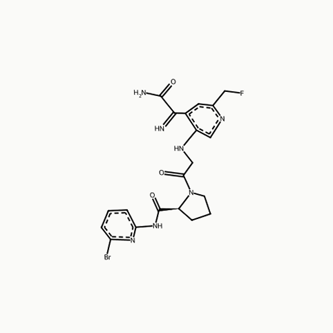 N=C(C(N)=O)c1cc(CF)ncc1NCC(=O)N1CCC[C@H]1C(=O)Nc1cccc(Br)n1